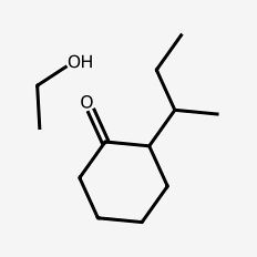 CCC(C)C1CCCCC1=O.CCO